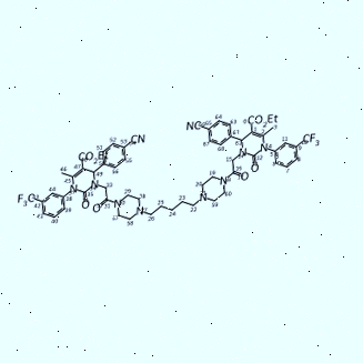 CCOC(=O)C1=C(C)N(c2cccc(C(F)(F)F)c2)C(=O)N(CC(=O)N2CCN(CCCCCN3CCN(C(=O)CN4C(=O)N(c5cccc(C(F)(F)F)c5)C(C)=C(C(=O)OCC)C4c4ccc(C#N)cc4)CC3)CC2)C1c1ccc(C#N)cc1